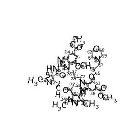 CCc1nc(C)sc1C(=O)Nc1nc2cc(C(=O)OC)cc(OC)c2n1C/C=C/Cn1c(CC(=O)c2c(F)c(C)nn2CC)nc2cc(C(=O)OC)cc(OCCCN3CCOCC3)c21